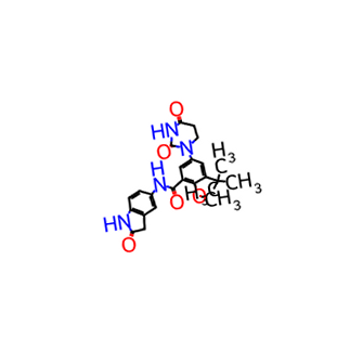 COc1c(C(=O)Nc2ccc3c(c2)CC(=O)N3)cc(N2CCC(=O)NC2=O)cc1C(C)(C)C